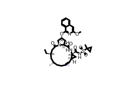 CC[C@H]1CC(=O)N2C[C@H](Oc3nc(OC)cc4ccccc34)C[C@H]2C(=O)N[C@]2(C(=O)NS(=O)(=O)C3(C)CC3)C[C@H]2/C=C\CC[C@H](C)C1